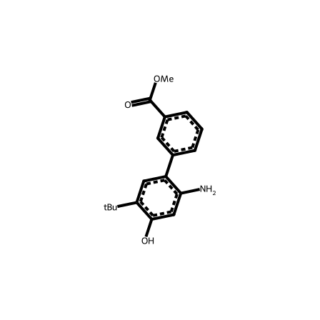 COC(=O)c1cccc(-c2cc(C(C)(C)C)c(O)cc2N)c1